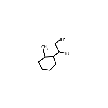 CCC(CC(C)C)C1CCCCC1C